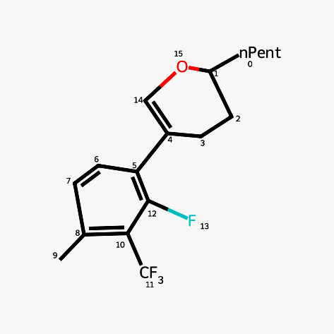 CCCCCC1CCC(c2ccc(C)c(C(F)(F)F)c2F)=CO1